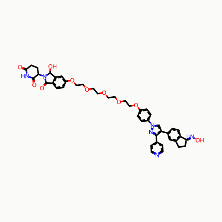 O=C1CCC(N2C(=O)c3ccc(OCCOCCOCCOCCOc4ccc(-n5cc(-c6ccc7c(c6)CC/C7=N\O)c(-c6ccncc6)n5)cc4)cc3C2O)C(=O)N1